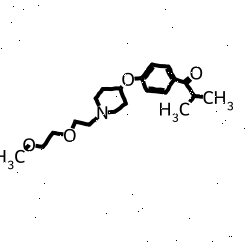 COCCOCCN1CCC(Oc2ccc(C(=O)C(C)C)cc2)CC1